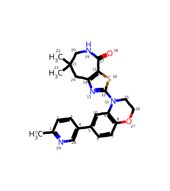 Cc1ccc(-c2ccc3c(c2)N(c2nc4c(s2)C(=O)NCC(C)(C)C4)CCO3)cn1